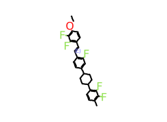 CCOc1ccc(/C=C/c2ccc(C3CCC(c4ccc(C)c(F)c4F)CC3)cc2F)c(F)c1F